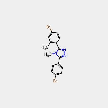 Cc1cc(Br)ccc1-c1nnc(-c2ccc(Br)cc2)n1C